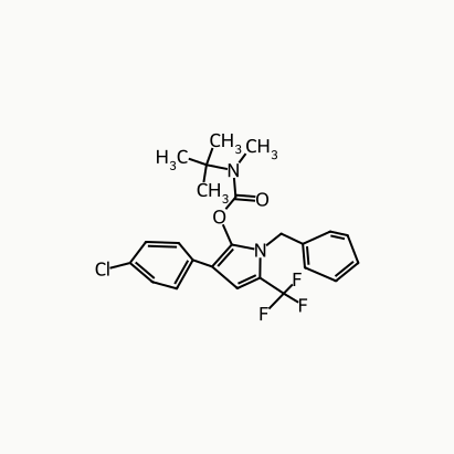 CN(C(=O)Oc1c(-c2ccc(Cl)cc2)cc(C(F)(F)F)n1Cc1ccccc1)C(C)(C)C